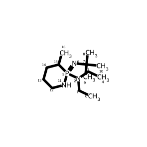 CCN(CC)P1(=NC(C)(C)C)NCCCC1C